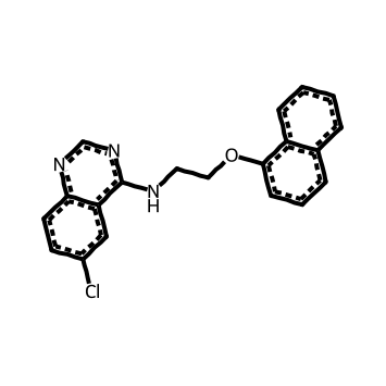 Clc1ccc2ncnc(NCCOc3cccc4ccccc34)c2c1